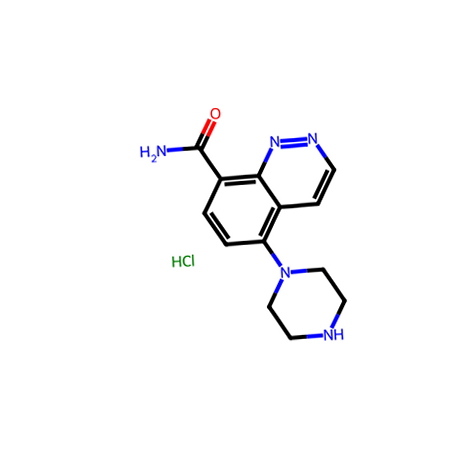 Cl.NC(=O)c1ccc(N2CCNCC2)c2ccnnc12